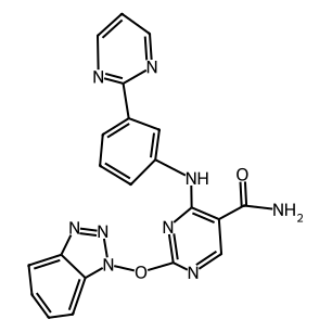 NC(=O)c1cnc(On2nnc3ccccc32)nc1Nc1cccc(-c2ncccn2)c1